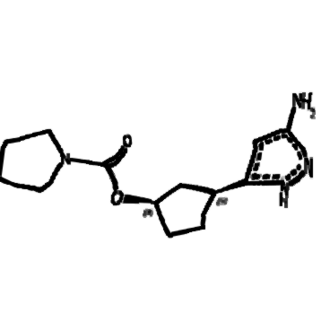 Nc1cc([C@H]2CC[C@@H](OC(=O)N3CCCC3)C2)[nH]n1